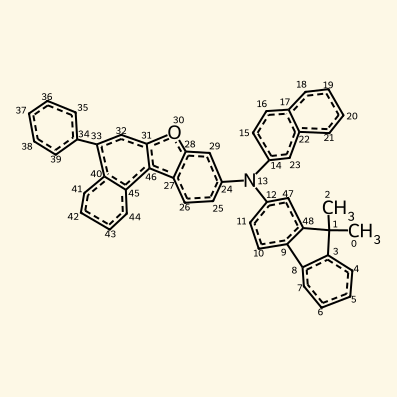 CC1(C)c2ccccc2-c2ccc(N(c3ccc4ccccc4c3)c3ccc4c(c3)oc3cc(-c5ccccc5)c5ccccc5c34)cc21